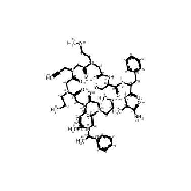 C#CCN(CC(=O)N(CCOC)CC(=O)NC(CO)C(=O)NC(Cc1ccccc1)C(=O)NC(C)C(N)=O)C(=O)CN(CCC)C(=O)CN(CC=C)C(=O)CN(CCOC)C(=O)CN(C(C)=O)C(C)c1ccccc1